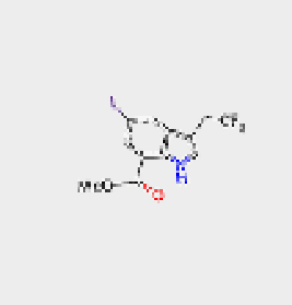 COC(=O)c1cc(I)cc2c(CC(F)(F)F)c[nH]c12